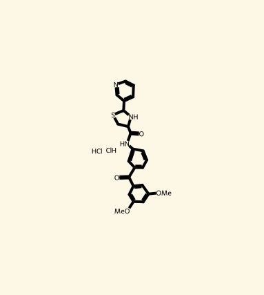 COc1cc(OC)cc(C(=O)c2cccc(NC(=O)C3CSC(c4cccnc4)N3)c2)c1.Cl.Cl